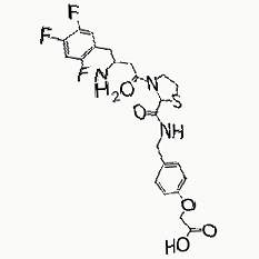 NC(CC(=O)N1CCSC1C(=O)NCc1ccc(OCC(=O)O)cc1)Cc1cc(F)c(F)cc1F